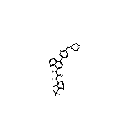 Cc1c(NC(=O)Nc2ccc(-c3ccc(CN4CCOCC4)nc3)c3ccccc23)ccnc1C(C)(C)C